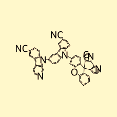 N#Cc1ccc2c(c1)c1cc(-n3c4ccc(C#N)cc4c4ccncc43)ccc1n2-c1ccc2c(c1)Oc1ccccc1C21c2cccnc2-c2ncccc21